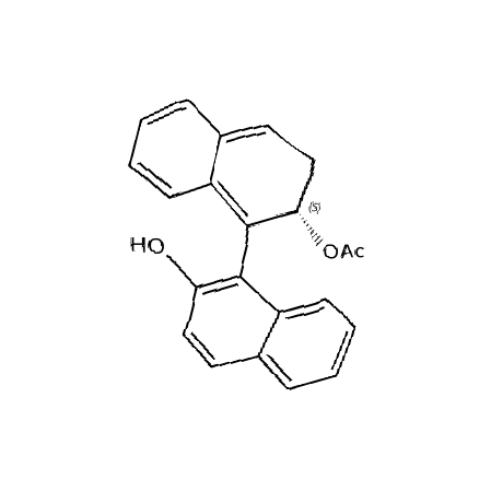 CC(=O)O[C@H]1CC=c2ccccc2=C1c1c(O)ccc2ccccc12